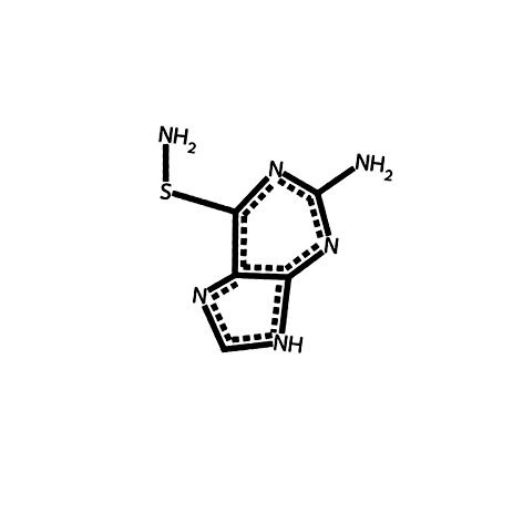 NSc1nc(N)nc2[nH]cnc12